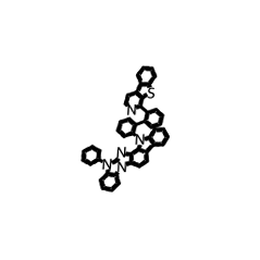 c1ccc(-n2c3ccccc3n3c4ccc5c6ccccc6n(-c6ccccc6-c6ccccc6-c6nccc7c6sc6ccccc67)c5c4nc23)cc1